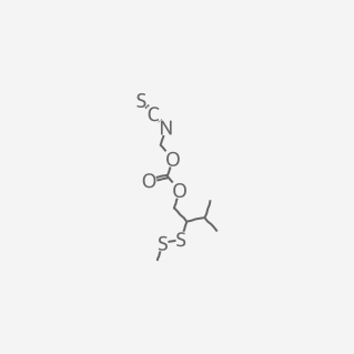 CSSC(COC(=O)OCN=C=S)C(C)C